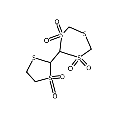 O=S1(=O)CCSC1C1S(=O)(=O)CSCS1(=O)=O